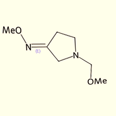 COCN1CC/C(=N\OC)C1